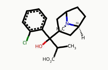 CC(C(=O)O)C(O)(c1ccccc1Cl)C1CC2CC[C@@H](C1)N2C